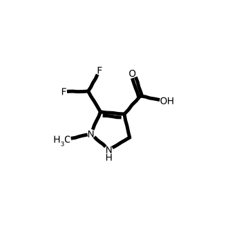 CN1NCC(C(=O)O)=C1C(F)F